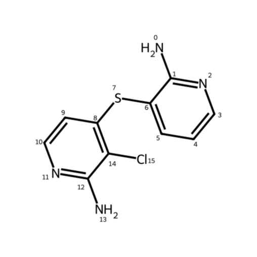 Nc1ncccc1Sc1ccnc(N)c1Cl